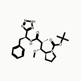 CO[C@H]([C@@H](C)C(=O)N[C@@H](Cc1ccccc1)c1nn[nH]n1)[C@@H]1CCCN1C(=O)OC(C)(C)C